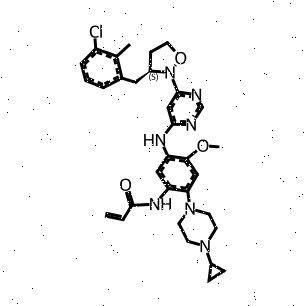 C=CC(=O)Nc1cc(Nc2cc(N3OCC[C@@H]3Cc3cccc(Cl)c3C)ncn2)c(OC)cc1N1CCN(C2CC2)CC1